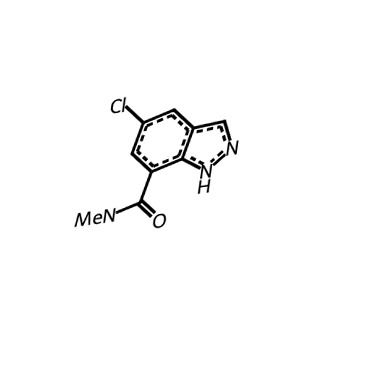 CNC(=O)c1cc(Cl)cc2cn[nH]c12